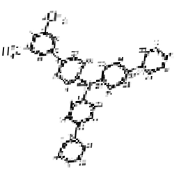 Cc1cc(C)cc(-c2ccc(N(c3ccc(-c4ccccc4)cc3)c3ccc(-c4ccccc4)cc3)cc2)c1